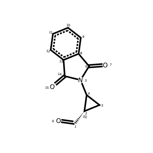 O=C[C@H]1CC1N1C(=O)c2ccccc2C1=O